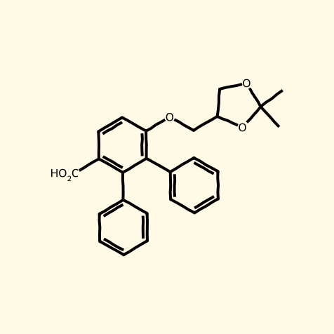 CC1(C)OCC(COc2ccc(C(=O)O)c(-c3ccccc3)c2-c2ccccc2)O1